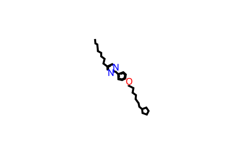 CCCCCCCCc1cnc(-c2ccc(OCCCCCCCC3CCCC3)cc2)nc1